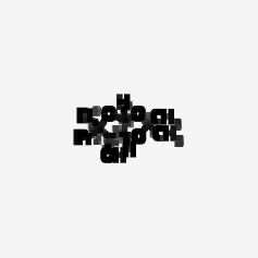 CC[C@@]1(C(C)C)O[C@@H]2OC(C)(C)O[C@@H]2[C@H]1O